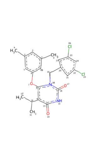 Cc1cc(C)cc(Oc2c(C(C)C)c(=O)[nH]c(=O)n2Cc2cc(Cl)cc(Cl)c2)c1